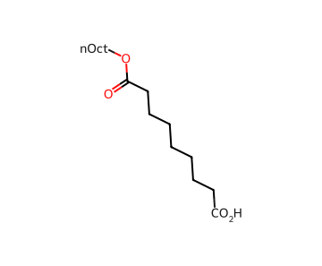 CCCCCCCCOC(=O)CCCCCCCC(=O)O